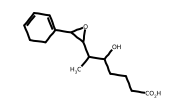 CC(C(O)CCCC(=O)O)C1OC1C1=CC=CCC1